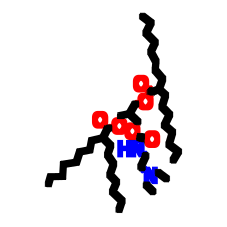 CCCCCCCCC(CCCCCCCC)C(=O)OCC(COC(=O)NCCN(CC)CC)COC(=O)C(CCCCCCCC)CCCCCCCC